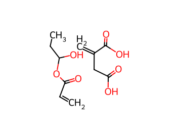 C=C(CC(=O)O)C(=O)O.C=CC(=O)OC(O)CC